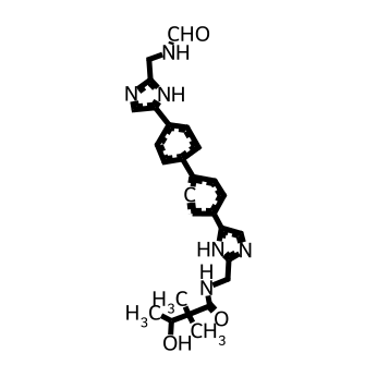 CC(O)C(C)(C)C(=O)NCc1ncc(-c2ccc(-c3ccc(-c4cnc(CNC=O)[nH]4)cc3)cc2)[nH]1